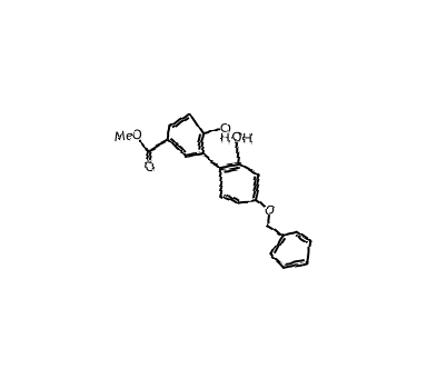 COC(=O)c1ccc(O)c(-c2ccc(OCc3ccccc3)cc2O)c1